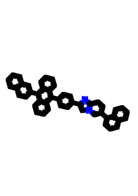 c1ccc2cc(-c3c4ccccc4c(-c4ccc(-c5cn6cc(-c7cccc8ccccc78)ccc6n5)cc4)c4ccccc34)ccc2c1